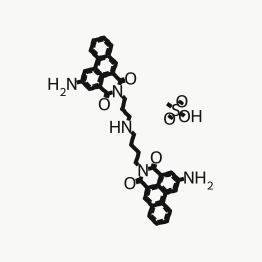 CS(=O)(=O)O.Nc1cc2c3c(cc4ccccc4c3c1)C(=O)N(CCCCNCCCN1C(=O)c3cc(N)cc4c3c(cc3ccccc34)C1=O)C2=O